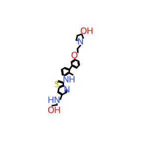 Cc1c(Nc2csc3cc(CNCCO)cnc23)cccc1-c1cccc(OCCCN2CCC(O)C2)c1